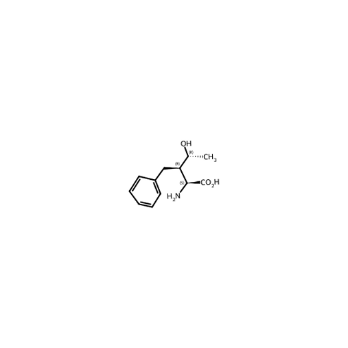 C[C@@H](O)[C@H](Cc1ccccc1)[C@H](N)C(=O)O